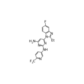 CCc1nc2cc(F)ccc2n1-c1cc(N)nc(Nc2ccc(C(F)(F)F)nc2)n1